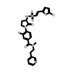 CN(CCc1cccnc1)C(=O)c1ccc(N2CCC(NS(=O)(=O)/C=C/c3ccc(Cl)s3)C2=O)c(F)c1